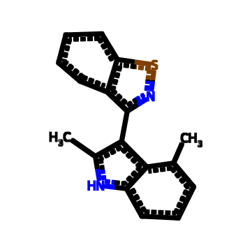 Cc1[nH]c2cccc(C)c2c1-c1nsc2ccccc12